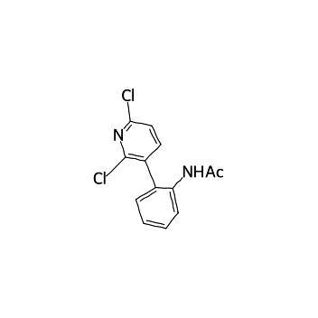 CC(=O)Nc1ccccc1-c1ccc(Cl)nc1Cl